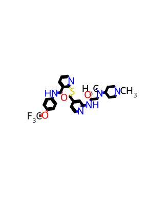 CN1CCC(N(C)CC(=O)Nc2cc(CSc3ncccc3C(=O)Nc3ccc(OC(F)(F)F)cc3)ccn2)CC1